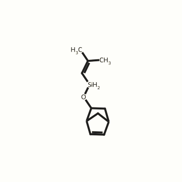 CC(C)=C[SiH2]OC1CC2C=CC1C2